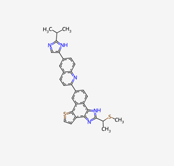 CSC(C)c1nc2c3ccsc3c3cc(-c4ccc5cc(-c6cnc(C(C)C)[nH]6)ccc5n4)ccc3c2[nH]1